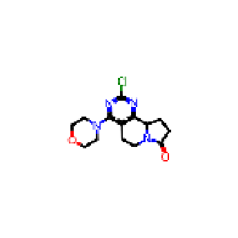 O=C1CCC2c3nc(Cl)nc(N4CCOCC4)c3CCN12